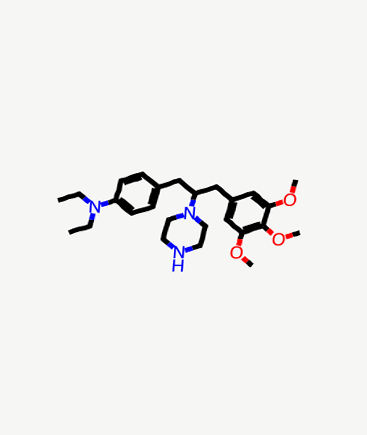 CCN(CC)c1ccc(CC(Cc2cc(OC)c(OC)c(OC)c2)N2CCNCC2)cc1